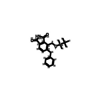 CC(C)(C)[Si](C)(C)OCc1c(Cc2ccccc2)ccc2c1C(=O)NC2=O